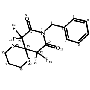 O=C1N(Cc2ccccc2)C(=O)C(F)(F)C2(SCCCS2)C1(F)F